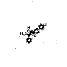 CC1[C@H](c2ccccc2)[C@]1(NS(=O)(=O)N1CCN(c2ccc(Cl)cc2)CC1)C(=O)O